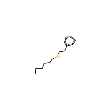 CCCCCCPCCc1ccccc1